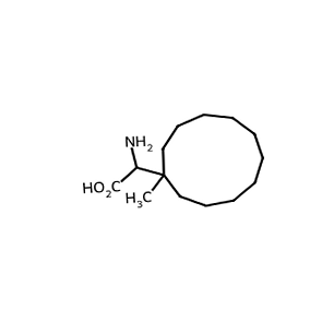 CC1(C(N)C(=O)O)CCCCCCCCCC1